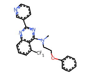 CN(CCOc1ccccc1)c1nc(-c2cccnc2)nc2cccc(C(F)(F)F)c12